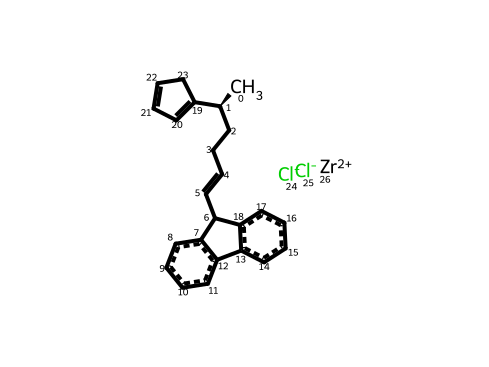 C[C@@H](CCC=CC1c2ccccc2-c2ccccc21)C1=CC=CC1.[Cl-].[Cl-].[Zr+2]